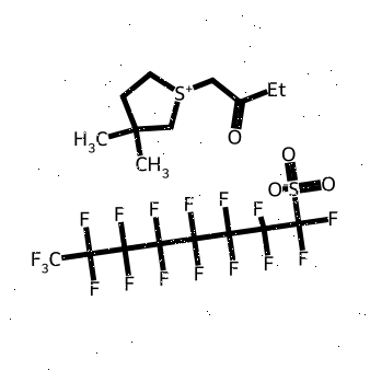 CCC(=O)C[S+]1CCC(C)(C)C1.O=S(=O)([O-])C(F)(F)C(F)(F)C(F)(F)C(F)(F)C(F)(F)C(F)(F)C(F)(F)C(F)(F)F